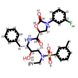 Cc1cccc(S(=O)(=O)N(CC(C)C)C[C@@H](O)[C@H](Cc2ccccc2)NC(=O)[C@@H]2CN(c3cccc(F)c3)C(=O)O2)c1